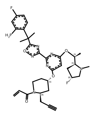 C#CC[C@@H]1C[C@@H](Oc2cc(O[C@@H](C)[C@@H]3C[C@@H](F)CN3C)nc(-c3noc(C(C)(C)c4ccc(F)cc4P)n3)n2)CCN1C(=O)C=C